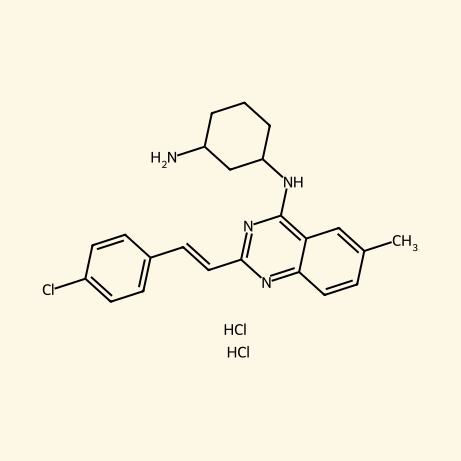 Cc1ccc2nc(C=Cc3ccc(Cl)cc3)nc(NC3CCCC(N)C3)c2c1.Cl.Cl